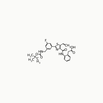 C=Cc1sc(-c2cc(F)cc(CNC(=O)OC(C)(C)C)c2)nc1C(=O)Nc1ccccc1CC(=O)O